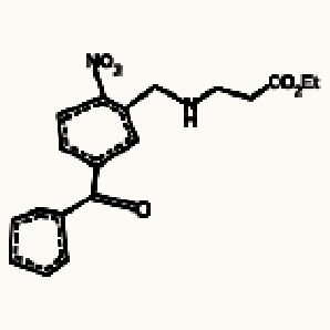 CCOC(=O)CCNCc1cc(C(=O)c2ccccc2)ccc1[N+](=O)[O-]